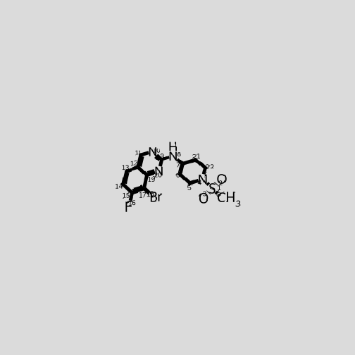 CS(=O)(=O)N1CCC(Nc2ncc3ccc(F)c(Br)c3n2)CC1